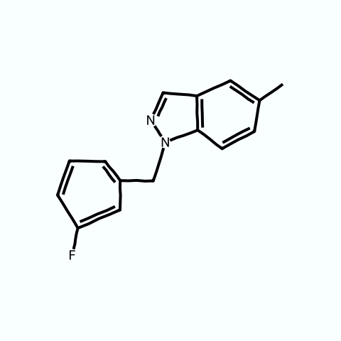 Cc1ccc2c(cnn2Cc2cccc(F)c2)c1